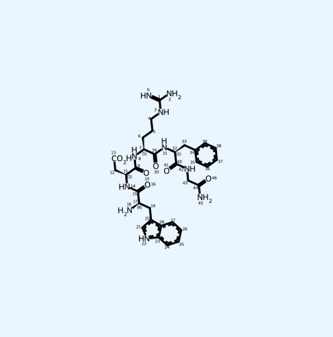 N=C(N)NCCC[C@H](NC(=O)[C@H](CC(=O)O)NC(=O)[C@H](N)Cc1c[nH]c2ccccc12)C(=O)N[C@@H](Cc1ccccc1)C(=O)NCC(N)=O